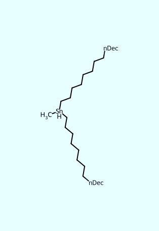 CCCCCCCCCCCCCCCCC[CH2][SnH]([CH3])[CH2]CCCCCCCCCCCCCCCCC